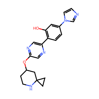 Oc1cc(-n2ccnc2)ccc1-c1cnc(OC2CCNC3(CC3)C2)cn1